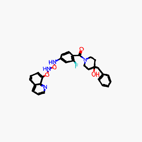 O=C(c1ccc(NONOc2cccc3cccnc23)cc1F)N1CCC(O)(Cc2ccccc2)CC1